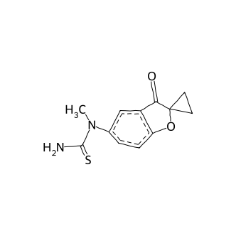 CN(C(N)=S)c1ccc2c(c1)C(=O)C1(CC1)O2